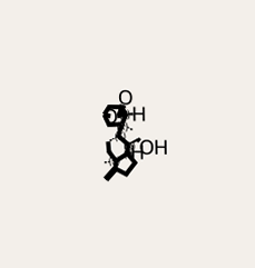 C=C1CC[C@H]2[C@H](CO)[C@@H]([C@@]3(C)CC4CC[C@H]3C(=O)O4)CC[C@]12C